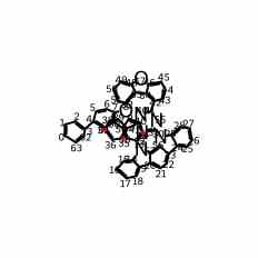 c1ccc(-c2ccc3oc4ccc(-n5c6ccccc6c6ccc7c8ccccc8n(-c8nc(-c9ccccc9)nc(-c9cccc%10oc%11ccccc%11c9%10)n8)c7c65)cc4c3c2)cc1